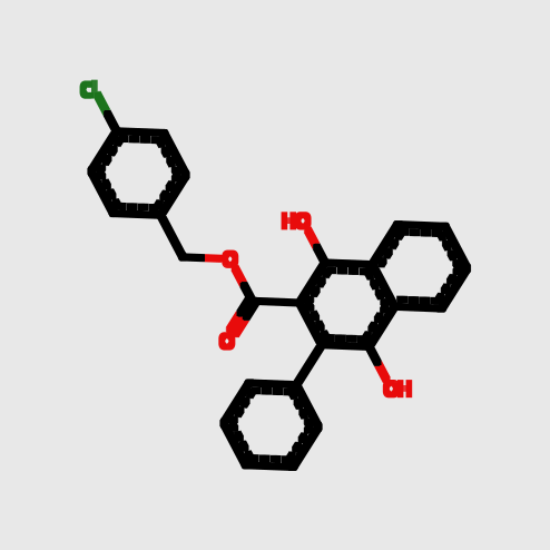 O=C(OCc1ccc(Cl)cc1)c1c(-c2ccccc2)c(O)c2ccccc2c1O